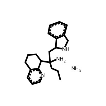 CCCC(N)(CC1NCc2ccccc21)C1CCCc2cccnc21.N